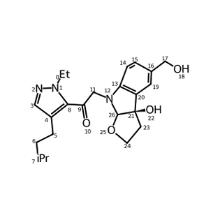 CCn1ncc(CCC(C)C)c1C(=O)CN1c2ccc(CO)cc2[C@]2(O)CCOC12